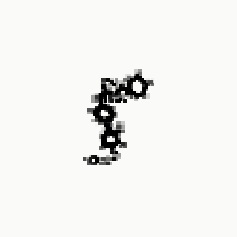 CCCCCCCCOc1ccc(-c2ccc(CC(C#N)CCC3(CCCCCCC)CCCCC3)cc2)c(F)c1